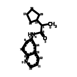 CC(C(=O)Nc1ccc2ncccc2c1)C1CCCC1